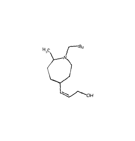 CC1CCC(/C=C\CO)CCN1CC(C)(C)C